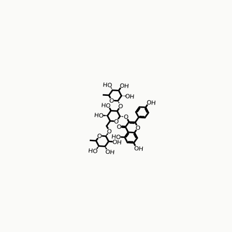 CC1O[C@@H](OC2C(O)[C@H](O)C(CO[C@@H]3OC(C)[C@H](O)[C@H](O)C3O)O[C@H]2Oc2c(-c3ccc(O)cc3)oc3cc(O)cc(O)c3c2=O)[C@@H](O)C(O)[C@H]1O